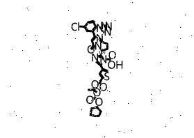 CC(OC(=O)OC1CCCCC1)OC(=O)c1cc(-c2cnc([C@@H]3CCc4nc(-c5cc(Cl)ccc5-n5cnnn5)cc(=O)n43)n2C(=O)O)cs1